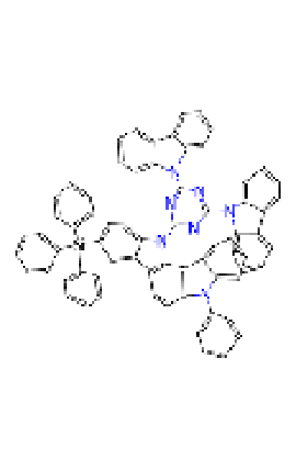 c1ccc(-n2c3ccccc3c3c2ccc2c4cc([Si](c5ccccc5)(c5ccccc5)c5ccccc5)ccc4n(-c4nc(-n5c6ccccc6c6ccccc65)nc(-n5c6ccccc6c6ccccc65)n4)c23)cc1